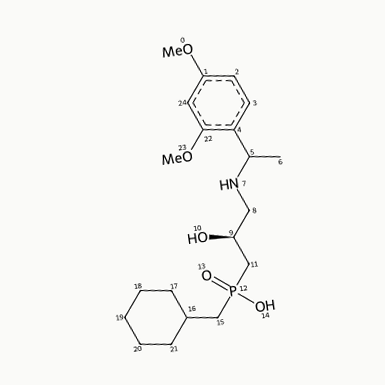 COc1ccc(C(C)NC[C@H](O)CP(=O)(O)CC2CCCCC2)c(OC)c1